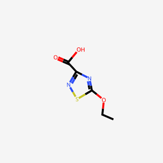 CCOc1nc(C(=O)O)ns1